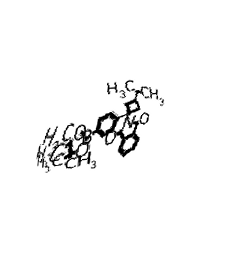 CC(C)[C@H]1C[C@](c2ccc(B3OC(C)(C)C(C)(C)O3)cc2)(N2C(=O)c3ccccc3C2=O)C1